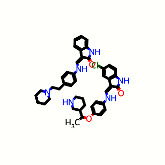 CC(Oc1ccc(NC=C2C(=O)Nc3ccc(Cl)cc32)cc1)C1CCCNC1.O=C1Nc2ccccc2C1=CNc1ccc(CCN2CCCCC2)cc1